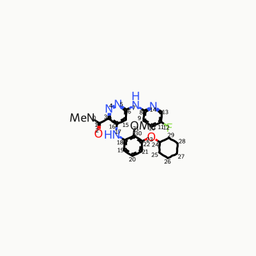 CNC(=O)c1nnc(Nc2ccc(F)cn2)cc1Nc1cccc(OC2CCCCC2)c1OC